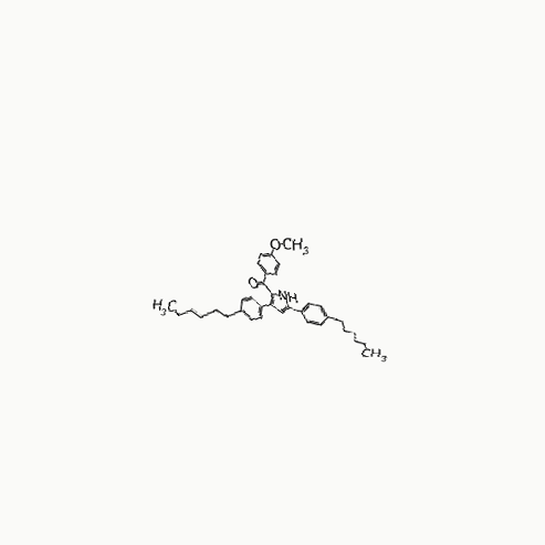 CCCCCCc1ccc(-c2cc(-c3ccc(CCCCCC)cc3)c(C(=O)c3ccc(OC)cc3)[nH]2)cc1